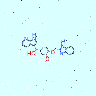 COC1CC(C(O)c2c[nH]c3ncccc23)=CC=C1OCc1nc2ccccc2[nH]1